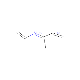 C=C/N=C(C)/C=C\C